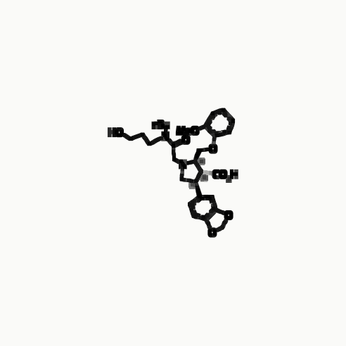 CCCCN(CCCO)C(=O)CN1C[C@H](c2ccc3c(c2)OCO3)[C@@H](C(=O)O)[C@@H]1COc1ccccc1OC